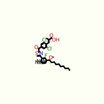 CCCCCCCCCC(OC)c1cccc(-c2csc(C(=O)c3cc(Cl)c(/C=C(\C)C(=O)O)c(Cl)c3)n2)c1F.[NaH].[NaH]